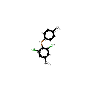 O=[N+]([O-])c1cc(Cl)c(Sc2ccc(C(F)(F)F)cc2)c(Cl)c1